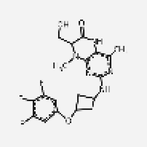 Cc1nc(NC2CC(Oc3cc(F)c(F)c(F)c3)C2)nc2c1NC(=O)C(CO)N2C